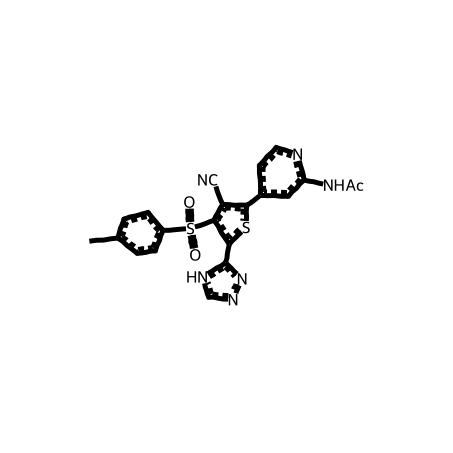 CC(=O)Nc1cc(-c2sc(-c3nnc[nH]3)c(S(=O)(=O)c3ccc(C)cc3)c2C#N)ccn1